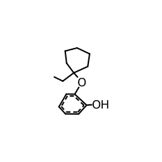 CCC1(Oc2ccccc2O)CCCCC1